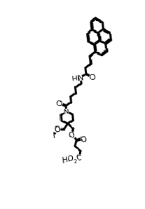 O=C(O)CCC(=O)OCC1(COI)CCN(C(=O)CCCCCNC(=O)CCCc2ccc3ccc4cccc5ccc2c3c45)CC1